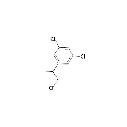 [CH2]C(CCl)c1cc(Cl)cc(Cl)c1